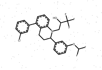 OC(CN1c2cccc(-c3cccc(Cl)c3)c2CCC1c1cccc(OC(F)F)c1)C(F)(F)F